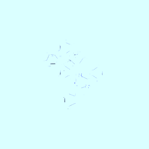 c1ccc(Sc2nc(-c3ccccc3)nc(-c3ccc4c(c3)C(c3ccccc3)(c3ccccc3)c3ccccc3-4)n2)cc1